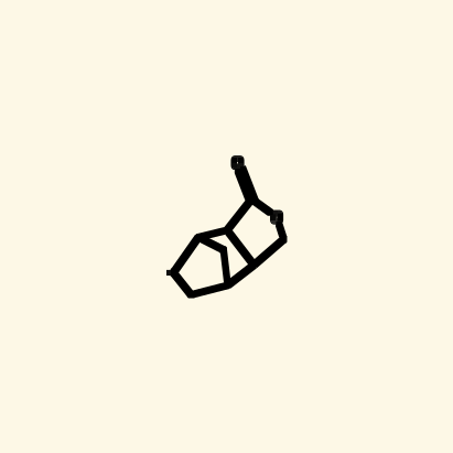 O=C1OCC2C3C[CH]C(C3)C12